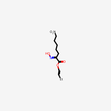 CCC=COC(=O)C(CCCCC[N+](=O)[O-])=NO